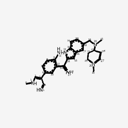 CN/C=C(\C=N)c1ccc(N)c(C(=N)c2cc3cc(CN(C)C4CCN(C)CC4)ccc3[nH]2)c1